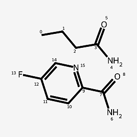 CCCC(N)=O.NC(=O)c1ccc(F)cn1